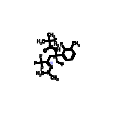 Cc1cccc([C@@](CF)(C/C(=N/N(C)C)C(F)(F)F)N[S+]([O-])C(C)(C)C)c1F